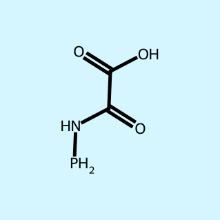 O=C(O)C(=O)NP